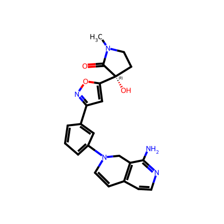 CN1CC[C@@](O)(c2cc(-c3cccc(N4C=Cc5ccnc(N)c5C4)c3)no2)C1=O